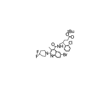 Cc1c(N2CCC(F)(F)CC2)nc2ccc(Br)cc2c1C(=O)NCC(CCC(=O)OC(C)(C)C)c1ccccc1Cl